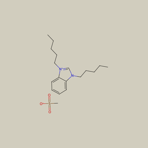 CCCCCn1c[n+](CCCCC)c2ccccc21.CS(=O)(=O)[O-]